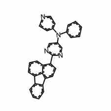 c1ccc(N(c2ccncc2)c2cnc(-c3ccc4c5c(cccc35)-c3ccccc3-4)nc2)cc1